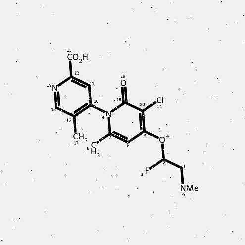 CNCC(F)Oc1cc(C)n(-c2cc(C(=O)O)ncc2C)c(=O)c1Cl